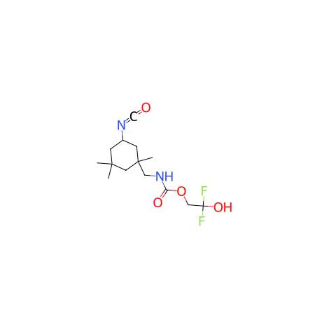 CC1(C)CC(N=C=O)CC(C)(CNC(=O)OCC(O)(F)F)C1